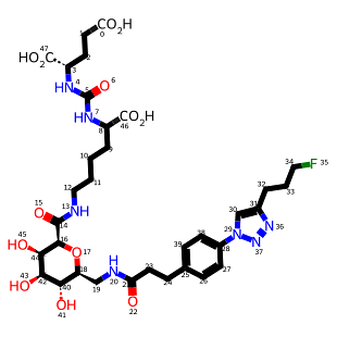 O=C(O)CC[C@H](NC(=O)NC(CCCCNC(=O)[C@H]1O[C@@H](CNC(=O)CCc2ccc(-n3cc(CCCF)nn3)cc2)[C@H](O)[C@@H](O)[C@H]1O)C(=O)O)C(=O)O